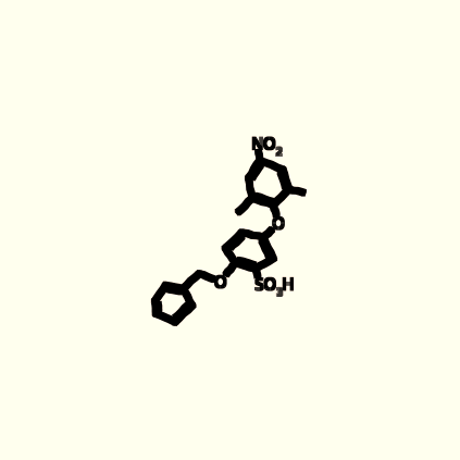 Cc1cc([N+](=O)[O-])cc(C)c1Oc1ccc(OCc2ccccc2)c(S(=O)(=O)O)c1